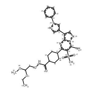 CCOC(CONC(=O)C1CCC(c2nc3c(-c4cnn(-c5ccccc5)c4)cnn3c(N)c2S(C)(=O)=O)CC1)OC